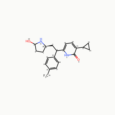 O=c1[nH]c(C(C[C@H]2CCC(O)N2)c2ccc(C(F)(F)F)cc2)ccc1C1CC1